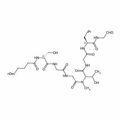 CCCCCCCCCCCCCC(=O)N[C@H](CO)C(=O)NCC(=O)NCC(=O)N(C)C(C(=O)NCC(=O)N[C@@H](CC(C)C)C(=O)NCC=O)C(C)O